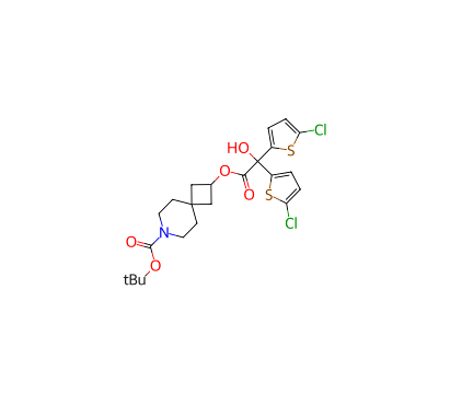 CC(C)(C)OC(=O)N1CCC2(CC1)CC(OC(=O)C(O)(c1ccc(Cl)s1)c1ccc(Cl)s1)C2